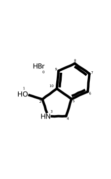 Br.OC1NCc2ccccc21